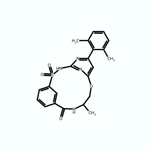 Cc1cccc(C)c1-c1cc2nc(n1)NS(=O)(=O)c1cccc(c1)C(=O)NC(C)CO2